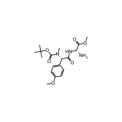 COC(=O)[C@H](N)NC(=O)[C@H](c1ccc(OC)cc1)N(C)C(=O)OC(C)(C)C